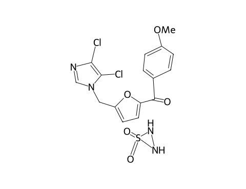 COc1ccc(C(=O)c2ccc(Cn3cnc(Cl)c3Cl)o2)cc1.O=S1(=O)NN1